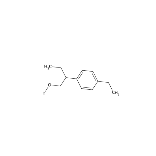 CCc1ccc(C(CC)COI)cc1